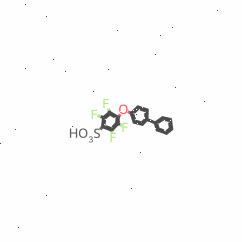 O=S(=O)(O)c1c(F)c(F)c(Oc2ccc(-c3ccccc3)cc2)c(F)c1F